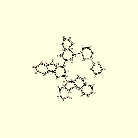 c1ccc(-c2cccc(-c3nc(-c4cc(-n5c6ccccc6c6c7ccccc7ccc65)cc5c4sc4ccccc45)nc4ccccc34)c2)cc1